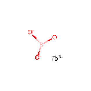 [O-]B([O-])[O-].[Tb+3]